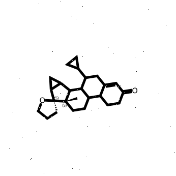 C[C@]12CCC3C4CCC(=O)C=C4CC(C4CC4)C3C1C1CC1[C@@]21CCCO1